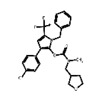 CN(CC1CCOC1)C(=O)Oc1c(-c2ccc(Cl)cc2)cc(C(F)(F)F)n1Cc1ccccc1